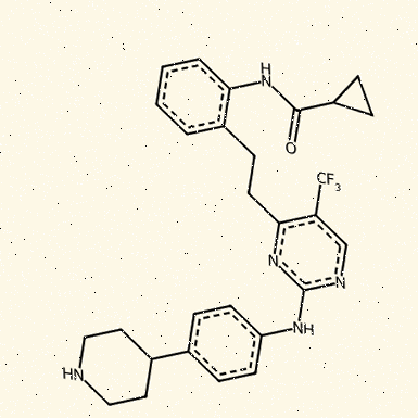 O=C(Nc1ccccc1CCc1nc(Nc2ccc(C3CCNCC3)cc2)ncc1C(F)(F)F)C1CC1